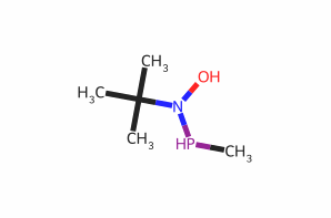 CPN(O)C(C)(C)C